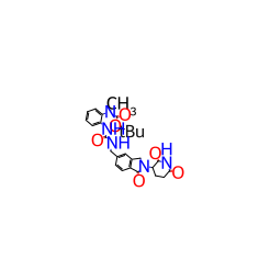 CN(C(=O)OC(C)(C)C)c1ccccc1NC(=O)NCc1ccc2c(c1)CN(C1CCC(=O)NC1=O)C2=O